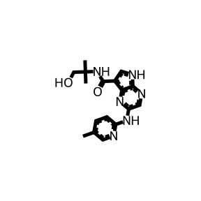 Cc1ccc(Nc2cnc3[nH]cc(C(=O)NC(C)(C)CO)c3n2)nc1